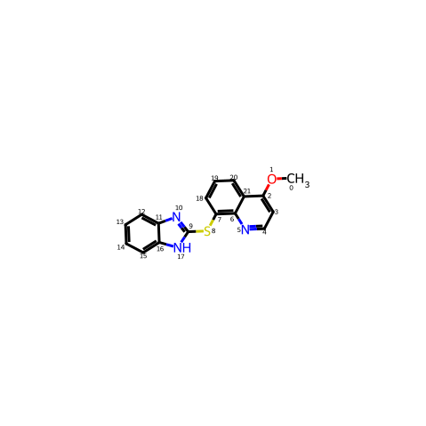 COc1ccnc2c(Sc3nc4ccccc4[nH]3)cccc12